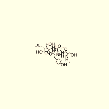 CSCC[C@H](NC(=O)[C@H](CO)NC(=O)[C@H](Cc1ccc(O)cc1)NC(=O)[C@@H](NC(=O)[C@@H](N)CO)[C@@H](C)O)C(=O)O